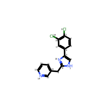 Clc1ccc(-c2c[nH]c(Cc3cccnc3)n2)cc1Cl